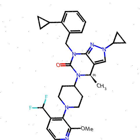 COc1nccc(C(F)F)c1N1CCC(N2C(=O)N(Cc3ccccc3C3CC3)c3nn(C4CC4)cc3[C@H]2C)CC1